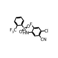 N#Cc1cc(NS(=O)(=O)c2ccccc2C(F)(F)F)c(F)cc1Cl